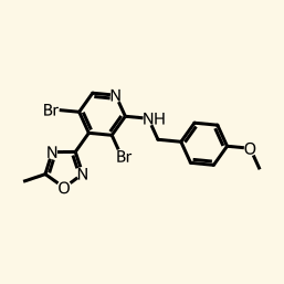 COc1ccc(CNc2ncc(Br)c(-c3noc(C)n3)c2Br)cc1